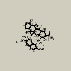 CN(C)[C@@H]1C(O)=C(C(N)=O)C(=O)[C@@]2(O)C(O)=C3C(=O)c4c(O)cccc4[C@@](C)(O)[C@H]3C[C@@H]12.COc1ccc2cc([C@H](C)C(=O)O)ccc2c1